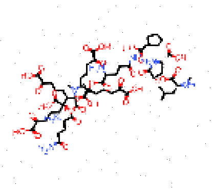 CC(C)C[C@](C(=O)O)(C(CCCC(=O)C(=O)O)C(CCCC(=O)C(=O)O)(OC(=O)[C@@H](N)CCC(N)=O)C(=O)O)N(C)C(CCCC(=O)C(=O)O)C(CCCC(=O)C(=O)O)(OC(=O)[C@@H](N)CCC(N)=O)C(=O)O.CN[C@@H](CC(C)C)C(=O)O.O=C(O)C1CCCC1.O=C1CC[C@@H](C(=O)O)N1